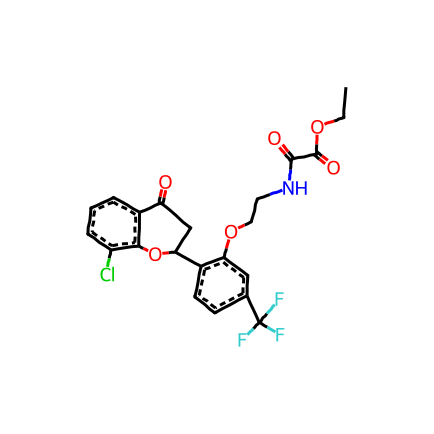 CCOC(=O)C(=O)NCCOc1cc(C(F)(F)F)ccc1C1CC(=O)c2cccc(Cl)c2O1